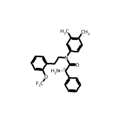 Cc1ccc(N(CCc2ccccc2OC(F)(F)F)C(=O)[C@@H](N)c2ccccc2)cc1C